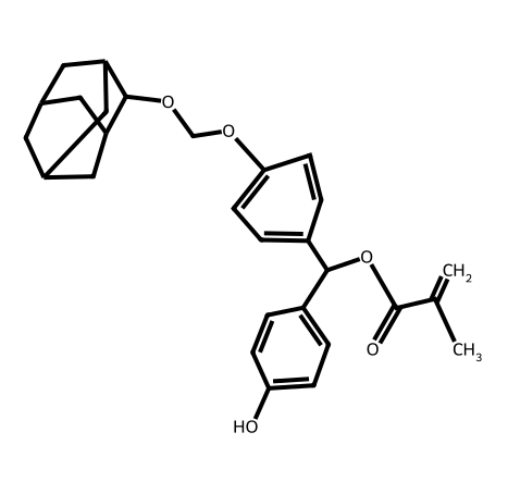 C=C(C)C(=O)OC(c1ccc(O)cc1)c1ccc(OCOC2C3CC4CC(C3)CC2C4)cc1